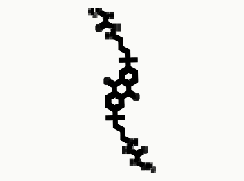 CC(C)(CCCNNC(=O)NN)c1ccc2c(c1)C(=O)c1ccc(C(C)(C)CCCNNC(=O)NN)cc1C2=O